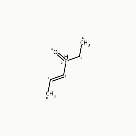 CC=C[PH](=O)CC